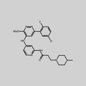 COc1nnc(-c2cc(Cl)ccc2F)cc1Nc1ccnc(NC(=O)CCN2CCN(C)CC2)c1